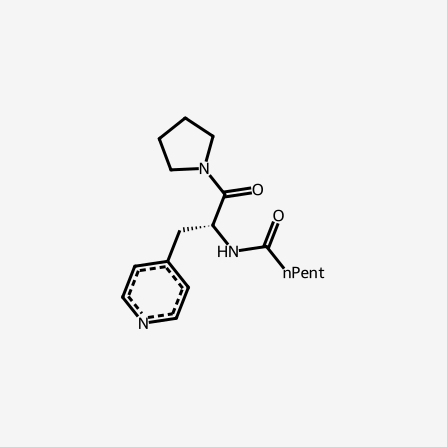 CCCCCC(=O)N[C@H](Cc1ccncc1)C(=O)N1CCCC1